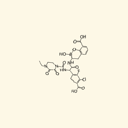 CCN1CCN(C(=O)NC(C(=O)NC2Cc3cccc(C(=O)O)c3OB2O)c2ccc(C(=O)O)c(Cl)c2F)C(=O)C1=O